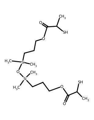 CC(S)C(=O)OCCC[Si](C)(C)O[Si](C)(C)CCCOC(=O)C(C)S